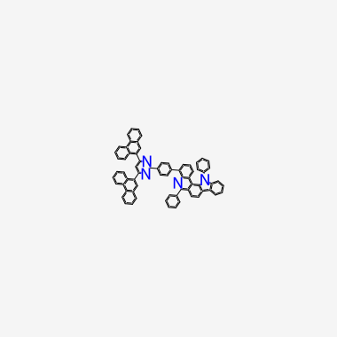 c1ccc(-c2nc3c(-c4ccc(-c5nc(-c6cc7ccccc7c7ccccc67)cc(-c6cc7ccccc7c7ccccc67)n5)cc4)cccc3c3c2ccc2c4ccccc4n(-c4ccccc4)c23)cc1